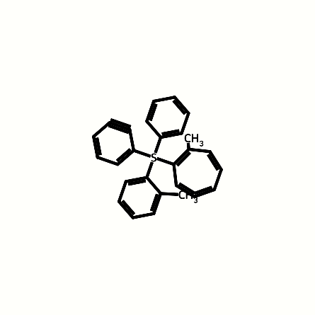 CC1=C(S(c2c#cccc2)(c2ccccc2)c2ccccc2C)C=C=CC=C1